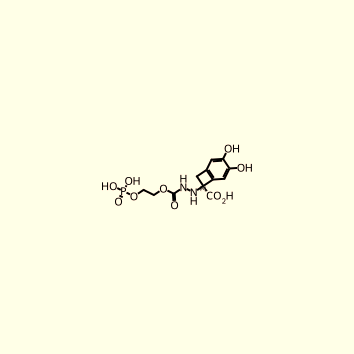 O=C(NN[C@]1(C(=O)O)Cc2cc(O)c(O)cc21)OCCOP(=O)(O)O